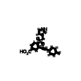 O=C(O)c1ccc(S(=O)(=O)Cc2cc[nH]n2)c(C#Cc2ccc(F)cc2)c1